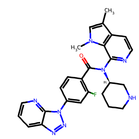 Cc1cn(C)c2c(N(C(=O)c3ccc(-n4nnc5cccnc54)cc3F)[C@@H]3CCCNC3)nccc12